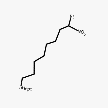 CCCCCCCCCCCCCCC(CC)[N+](=O)[O-]